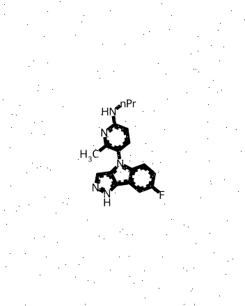 CCCNc1ccc(-n2c3ccc(F)cc3c3[nH]ncc32)c(C)n1